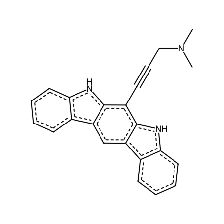 CN(C)CC#Cc1c2[nH]c3ccccc3c2cc2c1[nH]c1ccccc12